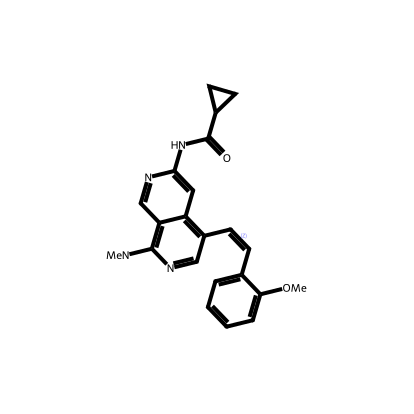 CNc1ncc(/C=C\c2ccccc2OC)c2cc(NC(=O)C3CC3)ncc12